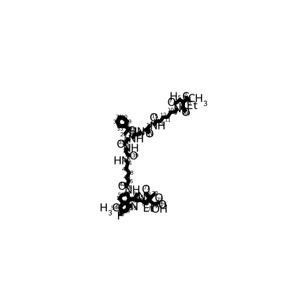 CCC(C)(C)C1CC(=O)N(CCCCCC(=O)NCC(=O)NCC(=O)N[C@@H](CCc2ccccc2)C(=O)NCC(=O)NCCCCCC(=O)N[C@H]2CCc3c(C)c(F)cc4nc5c(c2c34)Cn2c-5cc3c(c2=O)COC(=O)[C@]3(O)CC)C1=O